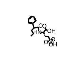 CCCC(C(=O)N[C@@H](CCS(=O)(=O)O)C(=O)O)c1ccccc1